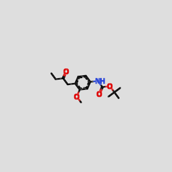 CCC(=O)Cc1ccc(NC(=O)OC(C)(C)C)cc1OC